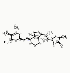 C=C1C[C@H](C[C@@H](C)C2CC[C@H]3/C(=C/C=C4C[C@@H](C)C(=C)[C@H](C)C4)CCC[C@]23C)OC1=O